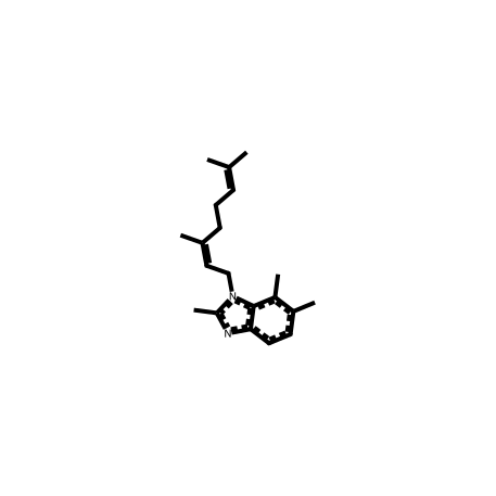 CC(C)=CCCC(C)=CCn1c(C)nc2ccc(C)c(C)c21